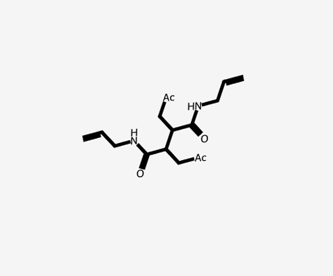 C=CCNC(=O)C(CC(C)=O)C(CC(C)=O)C(=O)NCC=C